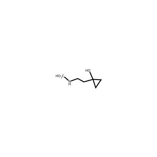 O=C(O)NCCC1(O)CC1